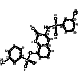 O=c1oc2c(OS(=O)(=O)c3cccc(C(F)(F)F)c3)cccc2cc1NS(=O)(=O)c1cccc(C(F)(F)F)c1